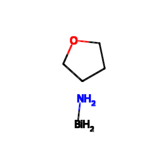 C1CCOC1.[NH2][BiH2]